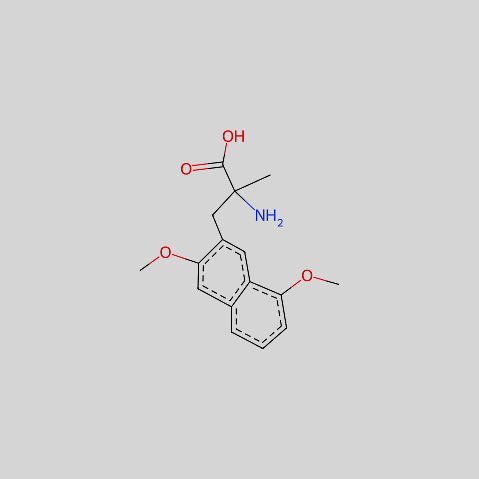 COc1cc2cccc(OC)c2cc1CC(C)(N)C(=O)O